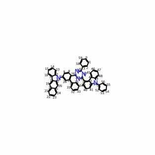 c1ccc(-c2nc(-c3ccc(-n4c5ccccc5c5cc6ccccc6cc54)cc3-c3ccccc3)nc(-c3cccc4c3c3ccccc3n4-c3ccccc3)n2)cc1